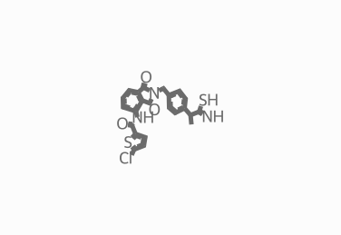 CC(C(=N)S)c1ccc(CN2C(=O)c3cccc(NC(=O)c4ccc(Cl)s4)c3C2=O)cc1